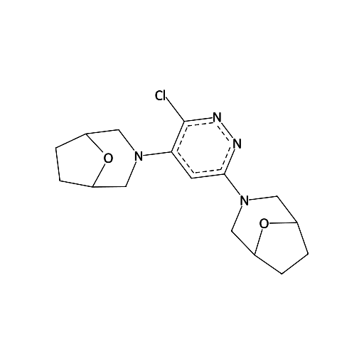 Clc1nnc(N2CC3CCC(C2)O3)cc1N1CC2CCC(C1)O2